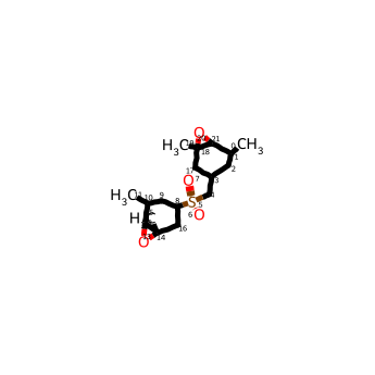 CC1CC(CS(=O)(=O)C2CC(C)C3OC3(C)C2)CC2(C)OC12